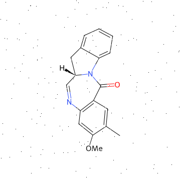 COc1cc2c(cc1C)C(=O)N1c3ccccc3C[C@H]1C=N2